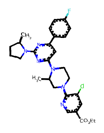 CCOC(=O)c1cnc(N2CCN(c3cc(-c4ccc(F)cc4)nc(N4CCCC4C)n3)C(C)C2)c(Cl)c1